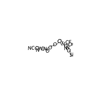 C[Si](C)(C)CCOCn1ncc(N2Cc3cccc(COCCOCC(=O)N4CCN(c5ccc(C#N)cn5)CC4)c3C2)c(C(F)(F)F)c1=O